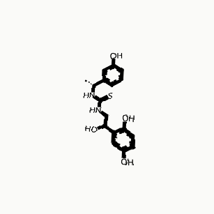 C[C@@H](NC(=S)NCC(O)c1cc(O)ccc1O)c1cccc(O)c1